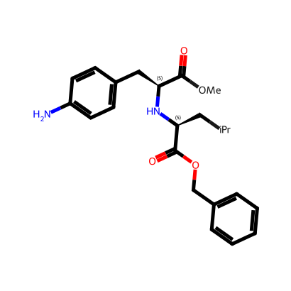 COC(=O)[C@H](Cc1ccc(N)cc1)N[C@@H](CC(C)C)C(=O)OCc1ccccc1